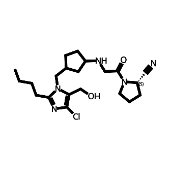 CCCCc1nc(Cl)c(CO)n1CC1CCC(NCC(=O)N2CCC[C@H]2C#N)C1